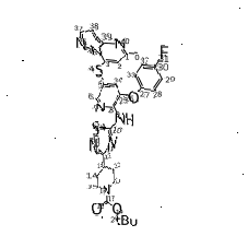 Cc1cc(Sc2cnc(Nc3nc(C4CCN(C(=O)OC(C)(C)C)CC4)ns3)c(Oc3ccc(F)cc3)c2)n2nccc2n1